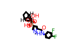 C[C@H](O)[C@@H](O)[C@@]1(O)[C@@H]2CC[C@H]1C[C@H](S(=O)(=O)c1cc(C(=O)Nc3ccc(F)c(F)c3)n(C)c1)C2